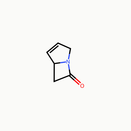 O=C1CC2C=CCN12